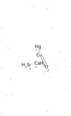 [CaH2].[Hg].[O]=[Cu].[SrH2]